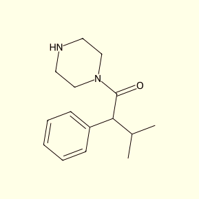 CC(C)C(C(=O)N1CCNCC1)c1ccccc1